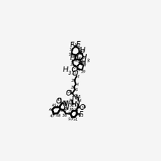 CC12CC[C@H]3C(CC[C@H]4CC(F)(F)CCC43C)[C@@H]1CCC2OCCCCCC(=O)N1CCN(C(=O)c2cc(Cc3n[nH]c(=O)c4ccccc34)ccc2F)CC1